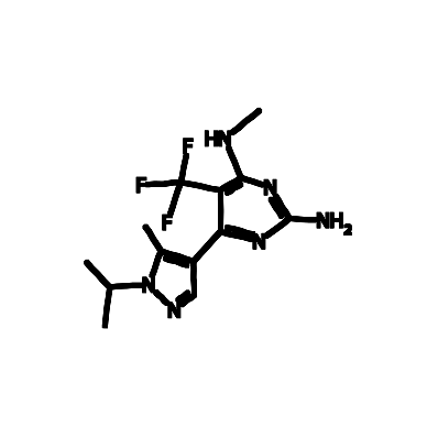 CNc1nc(N)nc(-c2cnn(C(C)C)c2C)c1C(F)(F)F